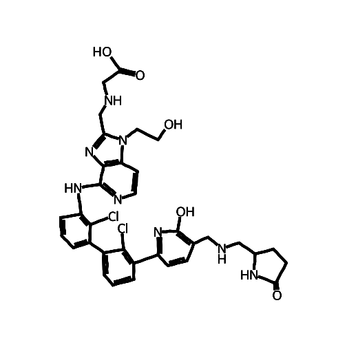 O=C(O)CNCc1nc2c(Nc3cccc(-c4cccc(-c5ccc(CNCC6CCC(=O)N6)c(O)n5)c4Cl)c3Cl)nccc2n1CCO